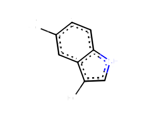 CCc1c[nH]c2ccc(C(F)(F)F)cc12